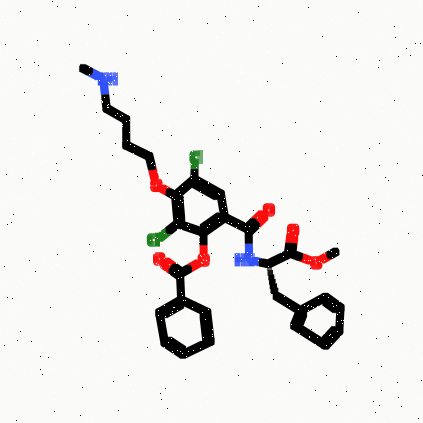 CNCCCCOc1c(Cl)cc(C(=O)N[C@@H](Cc2ccccc2)C(=O)OC)c(OC(=O)c2ccccc2)c1Cl